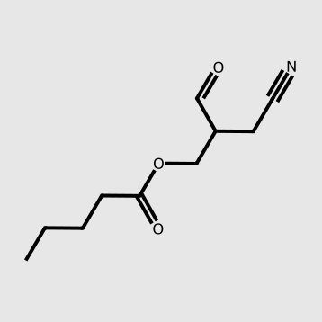 CCCCC(=O)OCC(C=O)CC#N